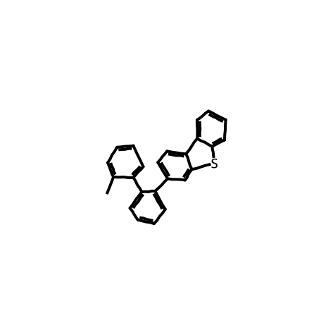 Cc1ccccc1-c1ccccc1-c1ccc2c(c1)sc1ccccc12